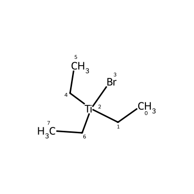 C[CH2][Ti]([Br])([CH2]C)[CH2]C